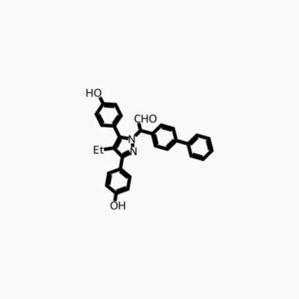 CCc1c(-c2ccc(O)cc2)nn(C(C=O)c2ccc(-c3ccccc3)cc2)c1-c1ccc(O)cc1